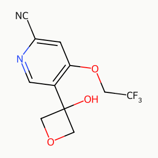 N#Cc1cc(OCC(F)(F)F)c(C2(O)COC2)cn1